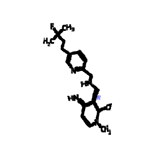 CN1C=CC(=N)/C(=C\NCc2ccc(CCC(C)(C)F)cn2)C1Cl